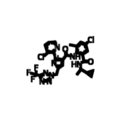 Cc1cc(Cl)cc(C(=O)NC(C)C2CC2)c1NC(=O)c1cc(Cn2nnc(C(F)(F)F)n2)nn1-c1ncccc1Cl